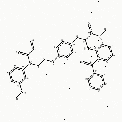 C=CC(=O)N(CCOc1ccc(CC(Nc2ccccc2C(=O)c2ccccc2)C(=O)OC)cc1)c1cccc(SC)c1